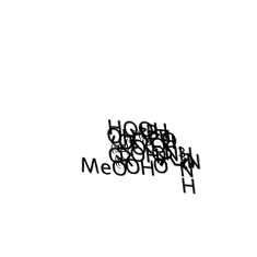 CO[C@@H]1O[C@@H](CO)[C@@H](O[C@@H]2OC(COC(=O)C(Cc3cnc[nH]3)NC(=O)OC(C)(C)C)[C@@H](C)[C@H](O)C2O)C(O)C1O